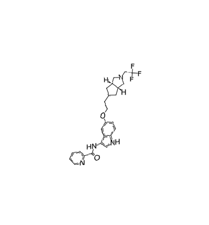 O=C(Nc1c[nH]c2ccc(OCCC3C[C@@H]4CN(CC(F)(F)F)C[C@@H]4C3)cc12)c1ccccn1